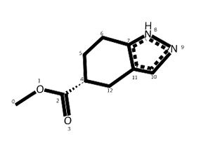 COC(=O)[C@@H]1CCc2[nH]ncc2C1